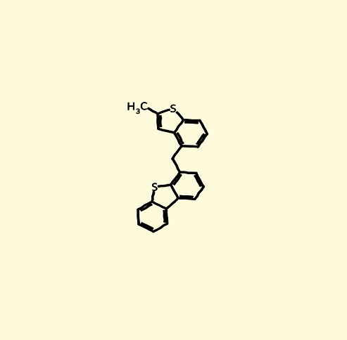 Cc1cc2c(Cc3cccc4c3sc3ccccc34)cccc2s1